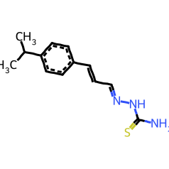 CC(C)c1ccc(C=CC=NNC(N)=S)cc1